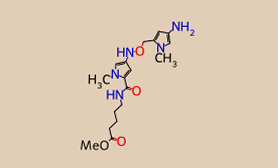 COC(=O)CCCCNC(=O)c1cc(NOCc2cc(N)cn2C)cn1C